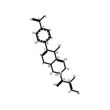 C=C(C)c1ccc(C2=CCC3CN(C(=C)/C(C)=C/C)CC=C3C2C)cc1